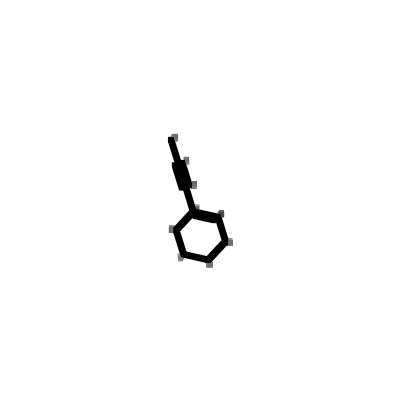 CC#CC1=C[CH]CCC1